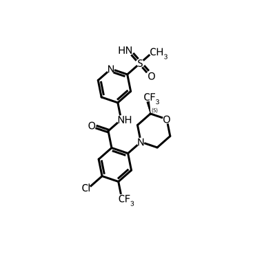 CS(=N)(=O)c1cc(NC(=O)c2cc(Cl)c(C(F)(F)F)cc2N2CCO[C@H](C(F)(F)F)C2)ccn1